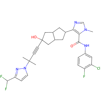 Cn1cnc(C2CC3CC(O)(C#CC(C)(C)n4ccc(C(F)F)n4)CC3C2)c1C(=O)Nc1ccc(F)c(Cl)c1